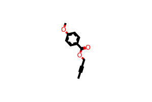 CC#CCOC(=O)c1ccc(OC)cc1